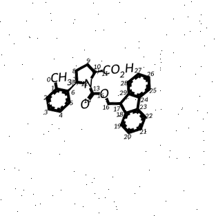 Cc1ccccc1[C@H]1CC[C@@H](C(=O)O)N1C(=O)OCC1c2ccccc2-c2ccccc21